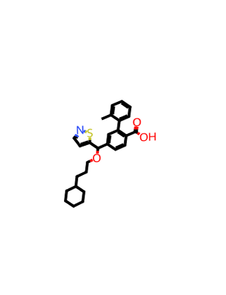 Cc1ccccc1-c1cc(C(OCCCC2CCCCC2)c2ccns2)ccc1C(=O)O